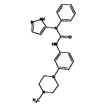 CN1CCN(c2cccc(NC(=O)N(c3ccccc3)c3ccn[nH]3)c2)CC1